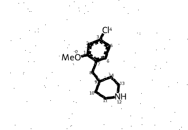 COc1cc(Cl)ccc1CC1CCNCC1